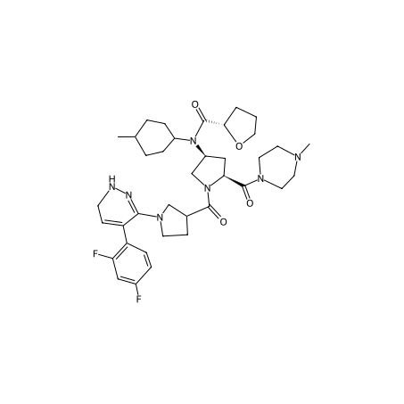 CC1CCC(N(C(=O)[C@@H]2CCCO2)[C@H]2C[C@@H](C(=O)N3CCN(C)CC3)N(C(=O)C3CCN(C4=NNCC=C4c4ccc(F)cc4F)C3)C2)CC1